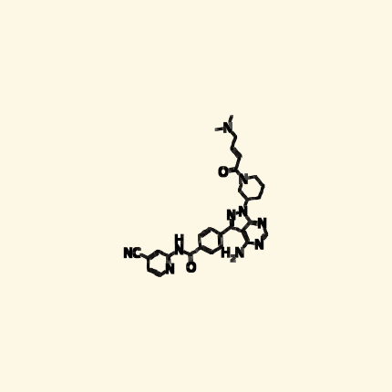 CN(C)CC=CC(=O)N1CCCC(n2nc(-c3ccc(C(=O)Nc4cc(C#N)ccn4)cc3)c3c(N)ncnc32)C1